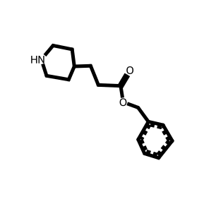 O=C(CCC1CCNCC1)OCc1ccccc1